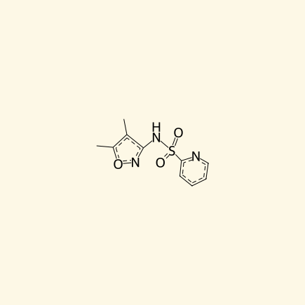 Cc1onc(NS(=O)(=O)c2ccccn2)c1C